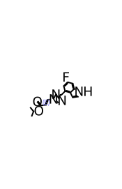 CC(C)OC(=O)/C=C/n1cnc(-c2cc(F)cc3[nH]ccc23)n1